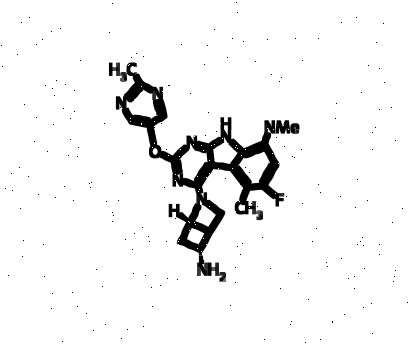 CNc1cc(F)c(C)c2c1[nH]c1nc(Oc3cnc(C)nc3)nc(N3CC4[C@H](N)C[C@@H]43)c12